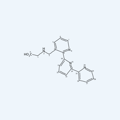 O=C(O)CNCc1cccnc1-c1cccc(-c2ccccn2)n1